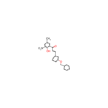 Cc1cc(C(=O)/C=C/c2cccc(OCc3ccccc3)c2)c(O)c([N+](=O)[O-])c1